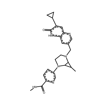 CNC(=O)c1ccc(N2CCN(Cc3cnc4cc(C5CC5)c(=O)[nH]c4c3)C3C(C)C32)cn1